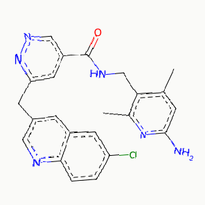 Cc1cc(N)nc(C)c1CNC(=O)c1cnnc(Cc2cnc3ccc(Cl)cc3c2)c1